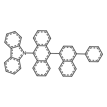 c1ccc(-c2ccc(-c3c4ccccc4c(-n4c5ccccc5c5ccccc54)c4ccccc34)c3ccccc23)cc1